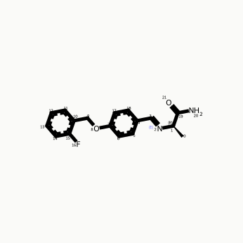 C[C@@H](/N=C/c1ccc(OCc2ccccc2F)cc1)C(N)=O